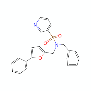 O=S(=O)(c1cccnc1)N(Cc1ccccc1)Cc1ccc(-c2ccccc2)o1